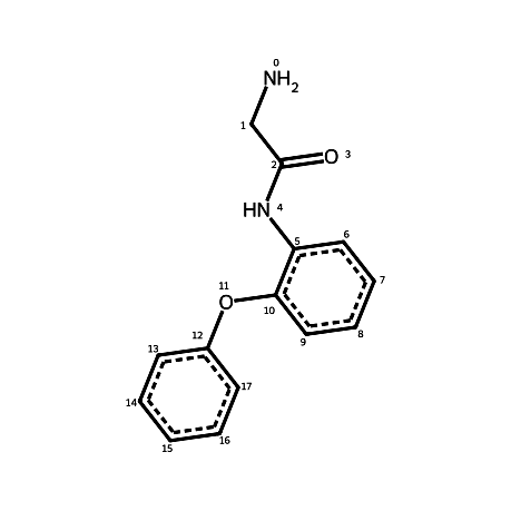 NCC(=O)Nc1ccccc1Oc1ccccc1